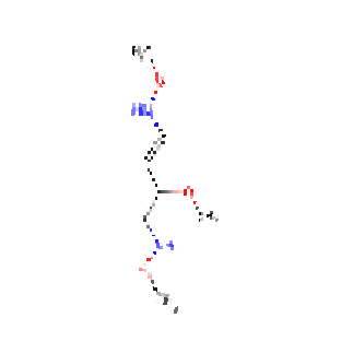 CON/C=C/C(CNOC)OC